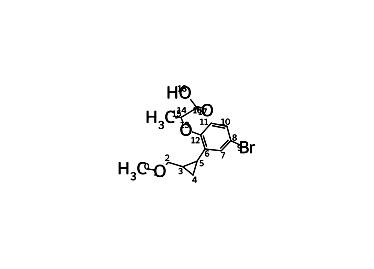 COCC1CC1c1cc(Br)ccc1O[C@@H](C)C(=O)O